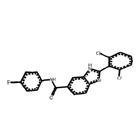 O=C(Nc1ccc(F)cc1)c1ccc2nc(-c3c(Cl)cccc3Cl)[nH]c2c1